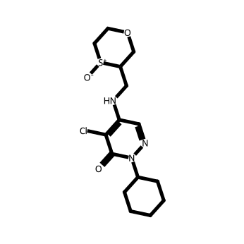 O=c1c(Cl)c(NCC2COCC[S+]2[O-])cnn1C1CCCCC1